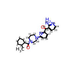 CC1CCCCC1C(=O)N1CCCN(c2cccc(C(=O)c3cccnc3N)n2)CC1